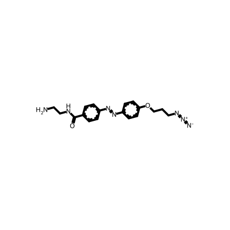 [N-]=[N+]=NCCCOc1ccc(/N=N/c2ccc(C(=O)NCCN)cc2)cc1